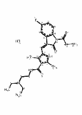 CCN(CC)CCNC(=O)c1c(C)[nH]c(C=C2C(=O)N(C(=O)NN)c3ccc(F)cc32)c1C.Cl